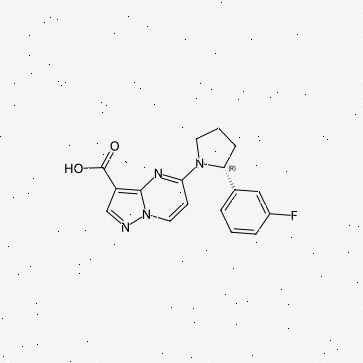 O=C(O)c1cnn2ccc(N3CCC[C@@H]3c3cccc(F)c3)nc12